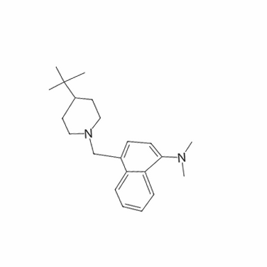 CN(C)c1ccc(CN2CCC(C(C)(C)C)CC2)c2ccccc12